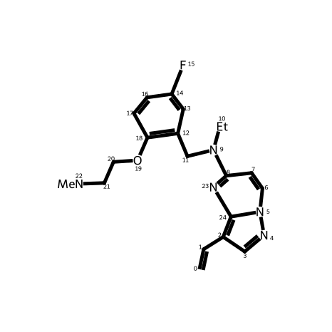 C=Cc1cnn2ccc(N(CC)Cc3cc(F)ccc3OCCNC)nc12